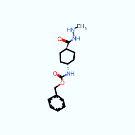 CNNC(=O)[C@H]1CC[C@H](NC(=O)OCc2ccccc2)CC1